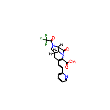 O=C(O)C1=C(/C=C/c2ccccn2)C[C@@H]2CN(C(=O)C(F)(F)F)[C@@H]3C(=O)N1[C@H]23